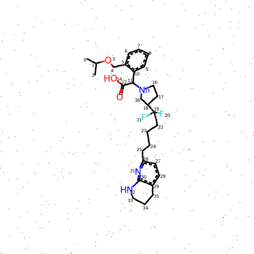 CC(C)OCc1ccccc1C(C(=O)O)N1CCC(C(F)(F)CCCCc2ccc3c(n2)NCCC3)C1